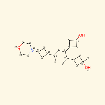 CC(CC(C1CC(O)C1)C(C)C1CC(C)(O)C1)C1CC(N2CCOCC2)C1